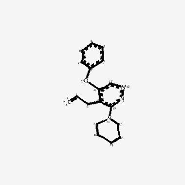 C=CCc1c(Oc2ccccc2)cnnc1N1CCCCC1